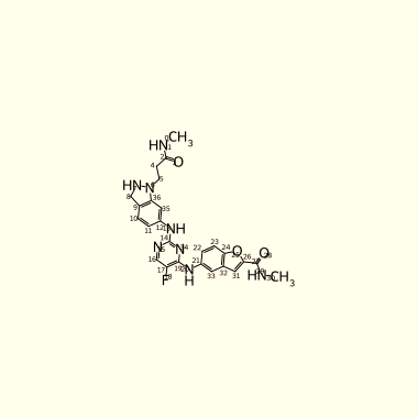 CNC(=O)CCN1NCc2ccc(Nc3ncc(F)c(Nc4ccc5oc(C(=O)NC)cc5c4)n3)cc21